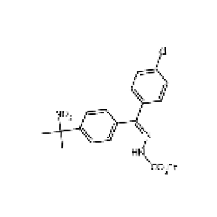 CCOC(=O)NN=C(c1ccc(Cl)cc1)c1ccc(C(C)(C)[N+](=O)[O-])cc1